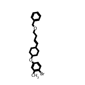 Cc1cc(OC2CCC(/C=C/CCOCc3ccccc3)CC2)ccc1Br